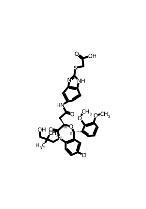 COc1cccc([C@H]2O[C@H](CC(=O)Nc3ccc4[nH]c(SCC(=O)O)nc4c3)C(=O)N(CC(C)(C)CO)c3ccc(Cl)cc32)c1OC